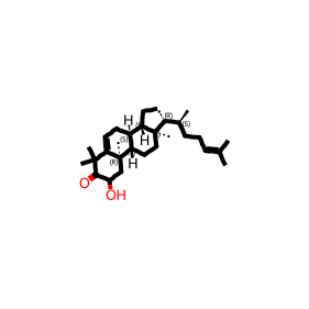 CC(C)=CCC[C@H](C)[C@H]1CC[C@H]2[C@@H]3CC=C4C(C)(C)C(=O)C(O)C[C@]4(C)[C@H]3CC[C@]12C